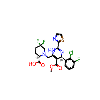 COC(=O)C1=C(CN2CC(F)(F)CC[C@H]2C(=O)O)NC(c2nccs2)=N[C@H]1c1cccc(F)c1Cl